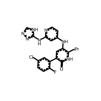 CC(C)c1[nH]c(=O)c(-c2cc(Cl)ccc2F)cc1Nc1ccnc(Nc2nnc[nH]2)c1